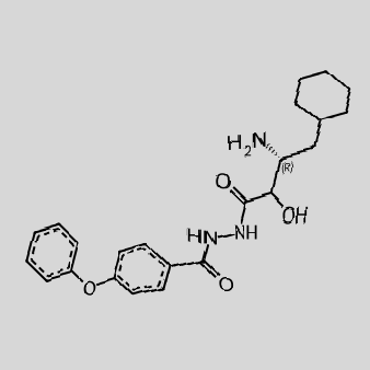 N[C@H](CC1CCCCC1)C(O)C(=O)NNC(=O)c1ccc(Oc2ccccc2)cc1